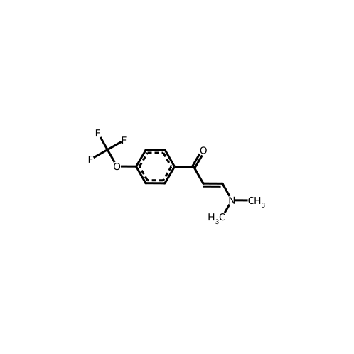 CN(C)C=CC(=O)c1ccc(OC(F)(F)F)cc1